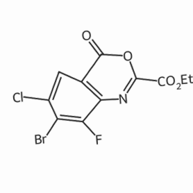 CCOC(=O)c1nc2c(F)c(Br)c(Cl)cc2c(=O)o1